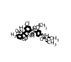 CCN(CC)C(=O)Nc1ccc(S(=O)(=O)c2cc(Cl)cc3c2NC(=O)C3(NC(C)=O)c2ccccc2Cl)c(OC)c1